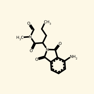 CCCC(C(=O)N(C)C=O)N1C(=O)c2cccc(N)c2C1=O